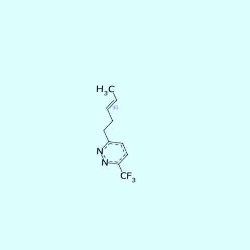 C/C=C/CCc1ccc(C(F)(F)F)nn1